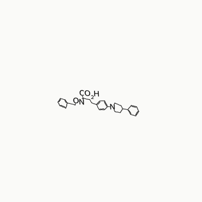 O=C(O)C(CCc1ccc(N2CCC(c3ccccc3)CC2)cc1)=NOCc1ccccc1